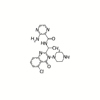 CC(NC(=O)c1nccnc1N)c1nc2cccc(Cl)c2c(=O)n1N1CCNCC1